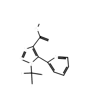 CNC(=O)c1nnn(C(F)(F)F)c1-c1ccccn1